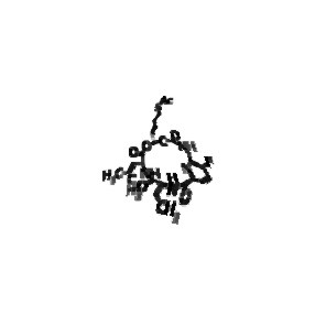 C/C=C1\NC(=O)c2ccc(F)c(n2)CNC(=O)C[C@@H](/C=C/CCSC(C)=O)OC(=O)C(C=C(C)C)NC1=O